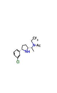 CC(=O)N(CC(F)(F)F)C(C)[C@H]1CC[C@@H](c2cccc(Cl)c2)N1